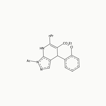 CCCC1=C(C(=O)OCC)C(c2ccccc2Cl)c2cnn(C(C)=O)c2N1